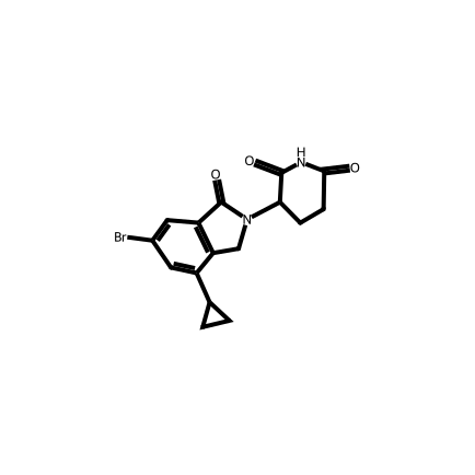 O=C1CCC(N2Cc3c(cc(Br)cc3C3CC3)C2=O)C(=O)N1